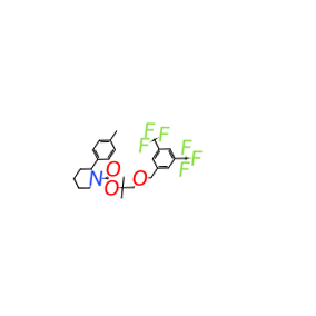 Cc1ccc(C2CCCCN2C(=O)OC(C)(C)COCc2cc(C(F)(F)F)cc(C(F)(F)F)c2)cc1